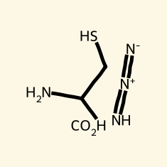 NC(CS)C(=O)O.[N-]=[N+]=N